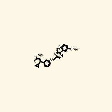 COC(=O)CC(c1cccc(OCc2cnc(-c3cc(OC)ccc3F)c(C(C)C)n2)c1)C1CC1